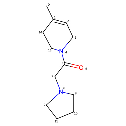 CC1=CCN(C(=O)CN2CCCC2)CC1